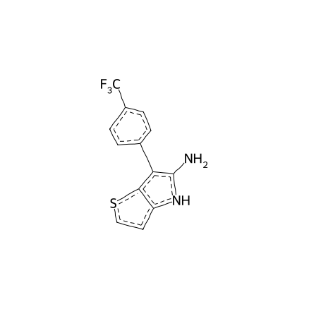 Nc1[nH]c2ccsc2c1-c1ccc(C(F)(F)F)cc1